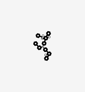 c1ccc(-c2cccc(N(c3ccc(-c4cc5oc6ccccc6c5c5oc(-c6ccccc6)nc45)cc3)c3ccc(-c4cccc5c4oc4ccccc45)cc3)c2)cc1